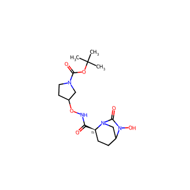 CC(C)(C)OC(=O)N1CCC(ONC(=O)[C@@H]2CCC3CN2C(=O)N3O)C1